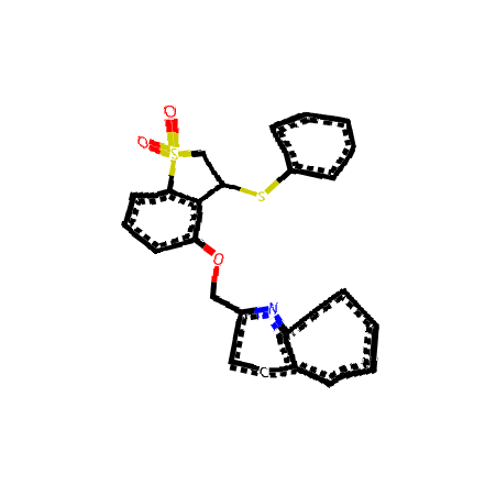 O=S1(=O)CC(Sc2ccccc2)c2c(OCc3ccc4ccccc4n3)cccc21